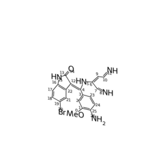 COc1cc(/C(N/C(C=N)=C/C=N)=C2/C(=O)Nc3ccc(Br)cc32)ccc1N